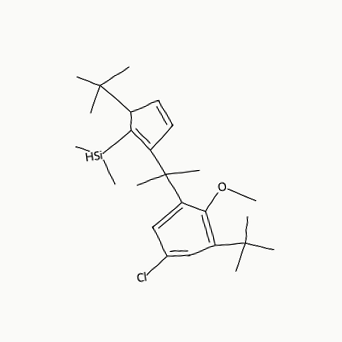 COc1c(C(C)(C)C)cc(Cl)cc1C(C)(C)C1=C([SiH](C)C)C(C(C)(C)C)C=C1